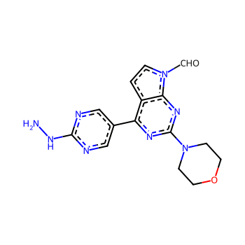 NNc1ncc(-c2nc(N3CCOCC3)nc3c2ccn3C=O)cn1